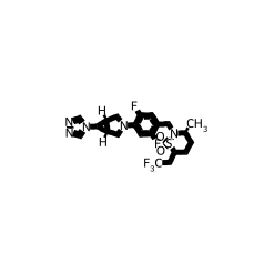 C[C@H]1CCC(CC(F)(F)F)S(=O)(=O)N1Cc1cc(F)c(N2C[C@@H]3C(n4cnnc4)[C@@H]3C2)cc1F